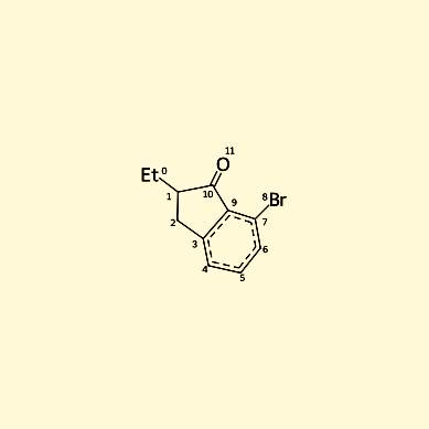 CCC1Cc2cccc(Br)c2C1=O